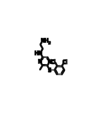 Cc1nc(NCCN)cnc1Sc1cccc(Cl)c1Cl